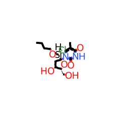 CCCCO[SiH](Cl)[C@]1(n2cc(C)c(=O)[nH]c2=O)C[C@H](O)[C@@H](CO)O1